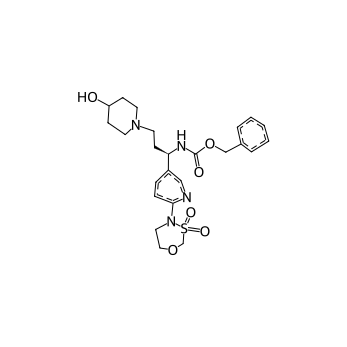 O=C(N[C@H](CCN1CCC(O)CC1)c1ccc(N2CCOCS2(=O)=O)nc1)OCc1ccccc1